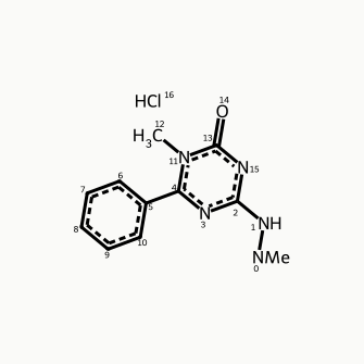 CNNc1nc(-c2ccccc2)n(C)c(=O)n1.Cl